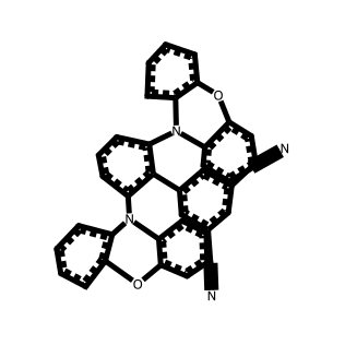 N#Cc1cc(C#N)cc(-c2c(N3c4ccccc4Oc4ccccc43)cccc2N2c3ccccc3Oc3ccccc32)c1